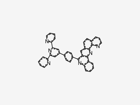 c1ccc(-c2cc(-c3ccc(-c4nc5ccccc5c5nc6c(ccc7cccnc76)cc45)cc3)cc(-c3ccccn3)n2)nc1